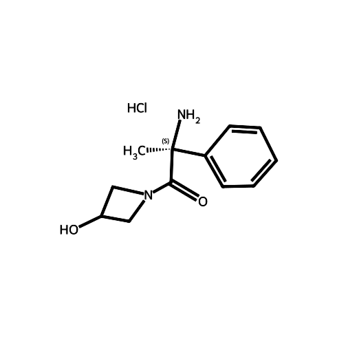 C[C@@](N)(C(=O)N1CC(O)C1)c1ccccc1.Cl